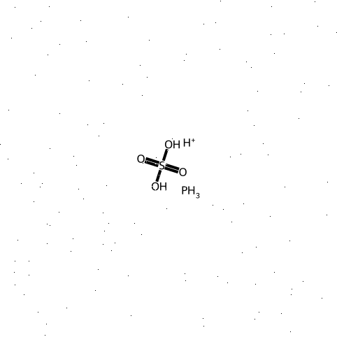 O=S(=O)(O)O.P.[H+]